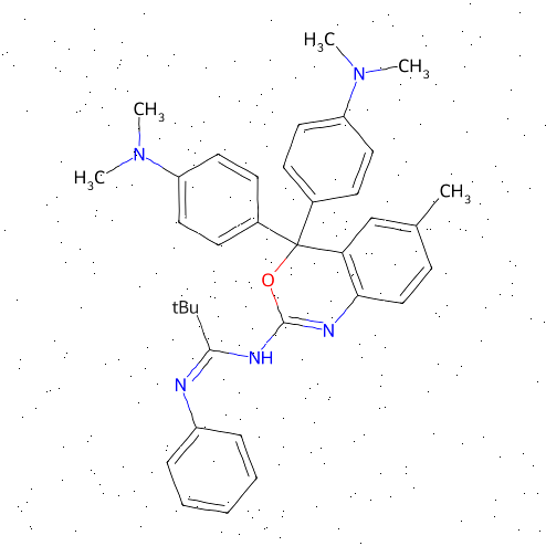 Cc1ccc2c(c1)C(c1ccc(N(C)C)cc1)(c1ccc(N(C)C)cc1)OC(N/C(=N\c1ccccc1)C(C)(C)C)=N2